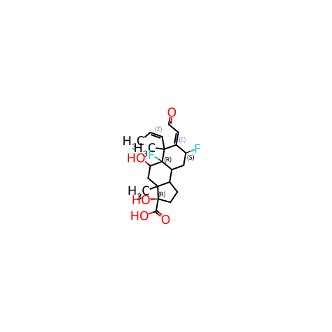 C/C=C\C1(C)/C(=C\C=O)[C@@H](F)CC2C3CC[C@](O)(C(=O)O)C3(C)CC(O)[C@@]21F